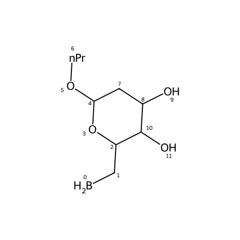 BCC1OC(OCCC)CC(O)C1O